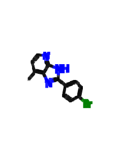 Cc1ccnc2[nH]c(-c3ccc(Br)cc3)nc12